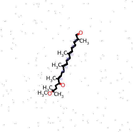 COC(C)(C)CCC(=O)/C(C)=C/C=C/C(C)=C/C=C/C(C)=C/C=C/C=C(\C)C=O